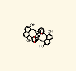 O=C1N2Cc3c(O)ccc4ccc(O)c(c34)CN3C(=O)N4Cc5c(O)ccc6ccc(O)c(c56)CN1C4(c1ccccc1)C23c1ccccc1